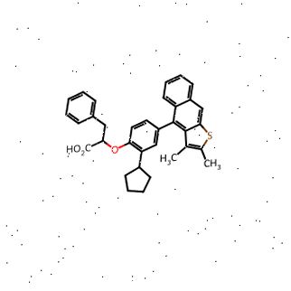 Cc1sc2cc3ccccc3c(-c3ccc(OC(Cc4ccccc4)C(=O)O)c(C4CCCC4)c3)c2c1C